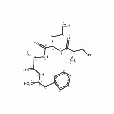 CC(C)C[C@H](N)C(=O)N[C@@H](CCC(=O)O)C(=O)N[C@H](C(=O)N[C@@H](Cc1ccccc1)C(=O)O)C(C)C